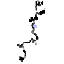 C/C(=C\C(=O)OCC(O)CO)CCC[C@H](C)CCC[C@H](C)CCCC(C)C